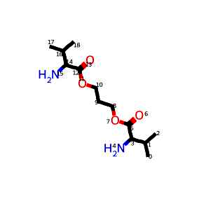 CC(C)C(N)C(=O)OCCCOC(=O)C(N)C(C)C